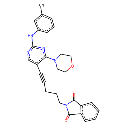 N#Cc1cccc(Nc2ncc(C#CCCCN3C(=O)c4ccccc4C3=O)c(N3CCOCC3)n2)c1